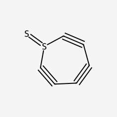 S=S1C#CC#CC#C1